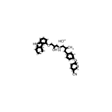 CC(CNCC(O)COc1cccc2[nH]c3ccccc3c12)Cc1ccc(Oc2ccc(C#N)cn2)cc1.Cl